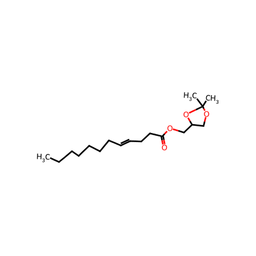 CCCCCCC/C=C/CCC(=O)OCC1COC(C)(C)O1